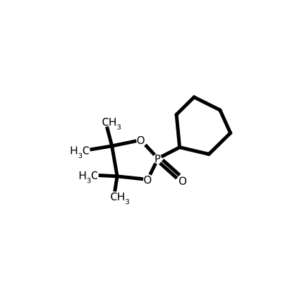 CC1(C)OP(=O)(C2CCCCC2)OC1(C)C